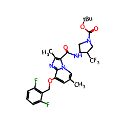 Cc1cc(OCc2c(F)cccc2F)c2nc(C)c(C(=O)NC3CN(C(=O)OC(C)(C)C)CC3C(F)(F)F)n2c1